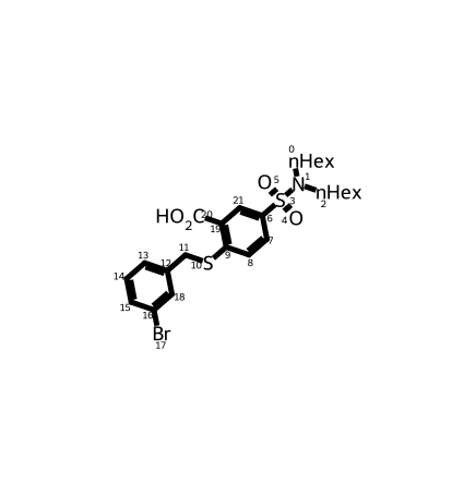 CCCCCCN(CCCCCC)S(=O)(=O)c1ccc(SCc2cccc(Br)c2)c(C(=O)O)c1